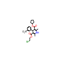 CC1=C(C(=O)OCCBr)C(c2cccc([N+](=O)[O-])c2)C(C(=O)OC2CCCC2)=C(C)N1